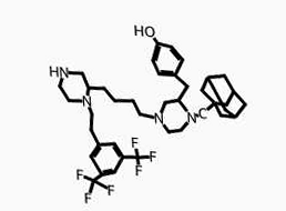 Oc1ccc(CC2CN(CCCCC3CNCCN3CCc3cc(C(F)(F)F)cc(C(F)(F)F)c3)CCN2CC23CC4CC(CC(C4)C2)C3)cc1